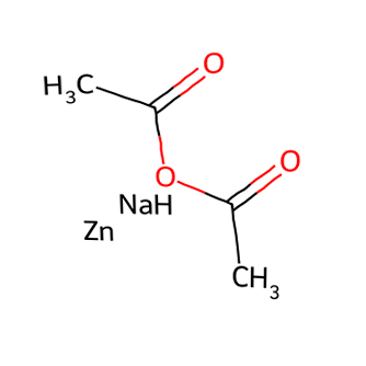 CC(=O)OC(C)=O.[NaH].[Zn]